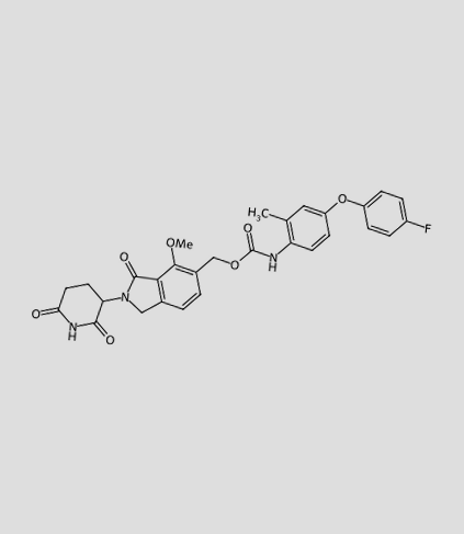 COc1c(COC(=O)Nc2ccc(Oc3ccc(F)cc3)cc2C)ccc2c1C(=O)N(C1CCC(=O)NC1=O)C2